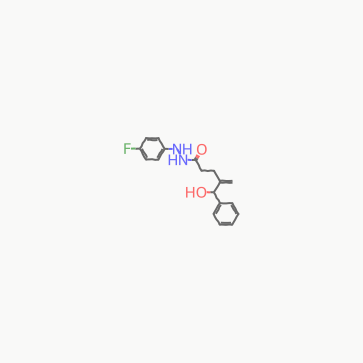 C=C(CCC(=O)NNc1ccc(F)cc1)C(O)c1ccccc1